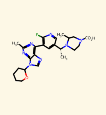 Cc1nc(-c2cc([C@@H](C)N3CCN(C(=O)O)CC3C)cnc2F)c2ncn(C3CCCCO3)c2n1